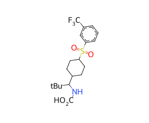 CC(C)(C)C(NC(=O)O)C1CCC(S(=O)(=O)c2cccc(C(F)(F)F)c2)CC1